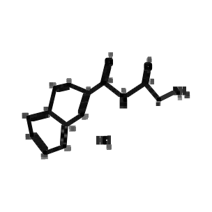 Cl.NCC(=O)NC(=O)c1ccc2ccccc2c1